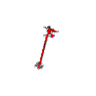 CC(C)[C@H](NC(=O)[C@H](CCCCNC(=O)CCOCCOCCOCCOCCOCCOCCOCCOCCOCCOCCOCCOCCNC(=O)NC[C@H](O)[C@@H](O)[C@H](O)[C@H](O)CO)NC(=O)CCCCCN1C(=O)C=CC1=O)C(=O)N[C@@H](CCCNC(N)=O)C(=O)Nc1ccc(CO)cc1